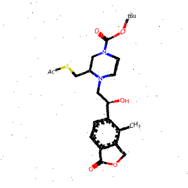 CC(=O)SCC1CN(C(=O)OC(C)(C)C)CCN1C[C@@H](O)c1ccc2c(c1C)COC2=O